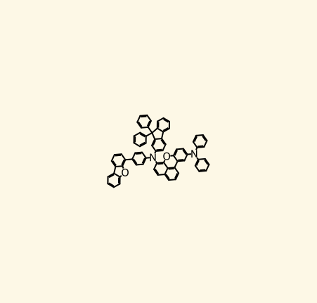 c1ccc(N(c2ccccc2)c2ccc3c(c2)-c2cccc4ccc(N(c5ccc(-c6cccc7c6oc6ccccc67)cc5)c5ccc6c(c5)C(c5ccccc5)(c5ccccc5)c5ccccc5-6)c(c24)O3)cc1